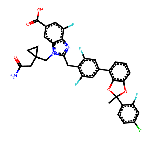 CC1(c2ccc(Cl)cc2F)Oc2cccc(-c3cc(F)c(Cc4nc5c(F)cc(C(=O)O)cc5n4CC4(CC(N)=O)CC4)c(F)c3)c2O1